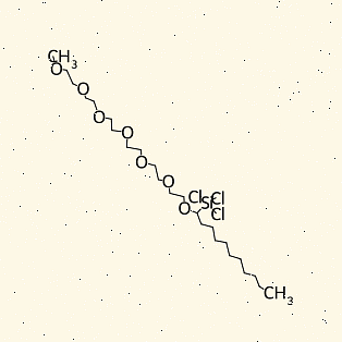 CCCCCCCCCCC(OCCOCCOCCOCCOCCOCCOC)[Si](Cl)(Cl)Cl